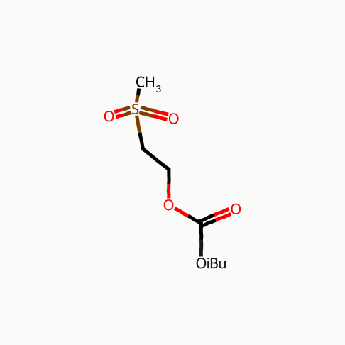 CC(C)COC(=O)OCCS(C)(=O)=O